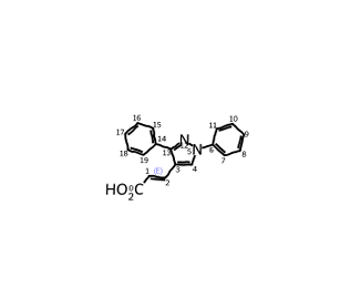 O=C(O)/C=C/c1cn(-c2ccccc2)nc1-c1ccccc1